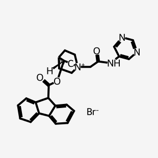 O=C(C[N+]12CCC(CC1)[C@@H](OC(=O)C1c3ccccc3-c3ccccc31)C2)Nc1cncnc1.[Br-]